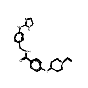 CCN1CCC(Oc2ccc(C(=O)NCc3ccc(NC4=NCCN4)cc3)cc2)CC1